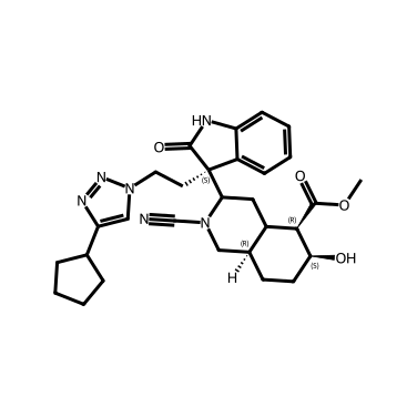 COC(=O)[C@@H]1C2CC([C@@]3(CCn4cc(C5CCCC5)nn4)C(=O)Nc4ccccc43)N(C#N)C[C@@H]2CC[C@@H]1O